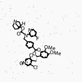 COc1ccc([C@H](Cc2c(Cl)c[n+]([O-])cc2Cl)OC(=O)c2ccc(CN(C(=O)O[C@H]3CN4CCC3CC4)c3cc(F)ccn3)cc2)cc1OC